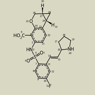 O=C(O)c1c(NS(=O)(=O)c2ccc(F)cc2C=CC2CCCN2)ccc2c1OC[C@@H]1C[C@H]21